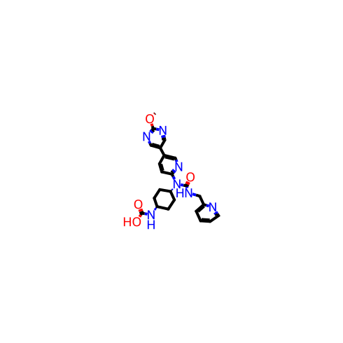 COc1ncc(-c2ccc(N(C(=O)NCc3ccccn3)[C@H]3CC[C@H](NC(=O)O)CC3)nc2)cn1